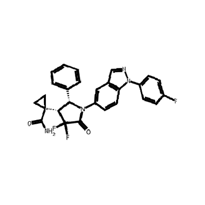 NC(=O)C1([C@@H]2[C@H](c3ccccc3)N(c3ccc4c(cnn4-c4ccc(F)cc4)c3)C(=O)C2(F)F)CC1